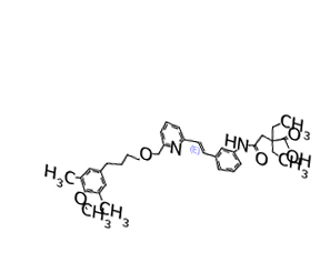 CCC(CC)(CC(=O)Nc1cccc(/C=C/c2cccc(COCCCCc3cc(C)c(OC)c(C)c3)n2)c1)C(=O)O